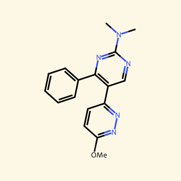 COc1ccc(-c2cnc(N(C)C)nc2-c2ccccc2)nn1